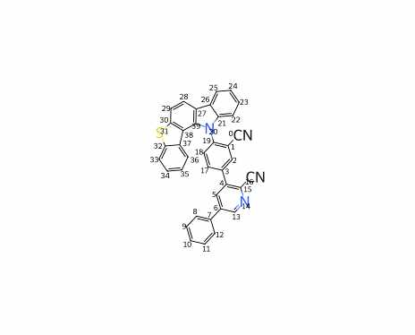 N#Cc1cc(-c2cc(-c3ccccc3)cnc2C#N)ccc1-n1c2ccccc2c2ccc3sc4ccccc4c3c21